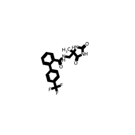 CC1(CNC(=O)c2ccccc2-c2ccc(C(F)(F)F)cc2)NC(=O)NC1=O